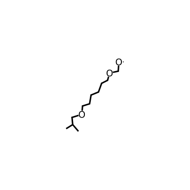 CC(C)COCCCCCCOC[O]